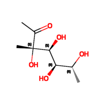 CC(=O)[C@@](C)(O)[C@@H](O)[C@H](O)[C@@H](C)O